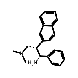 CN(C)C[C@H](c1ccc2ccccc2c1)[C@@H](N)c1ccccc1